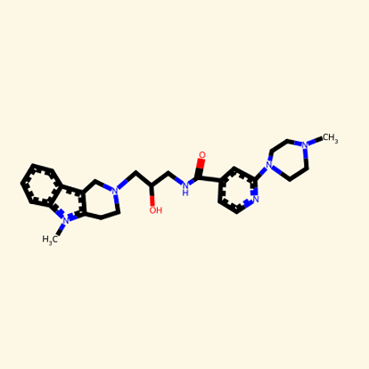 CN1CCN(c2cc(C(=O)NCC(O)CN3CCc4c(c5ccccc5n4C)C3)ccn2)CC1